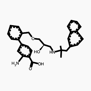 CC(C)(Cc1ccc2ccccc2c1)NC[C@@H](O)COCc1ccccc1-c1ccc(C(=O)O)c(N)c1